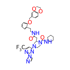 O=C(CC1CN(c2cc(C(F)(F)F)nc(-n3ccnc3)n2)CCN1C(=O)NC1CCCCC1)NCCc1ccccc1OCc1ccc2c(c1)OCCO2